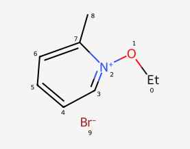 CCO[n+]1ccccc1C.[Br-]